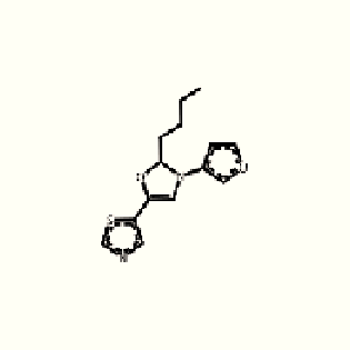 CCCCC1OC(c2cncs2)=[C]N1c1ccoc1